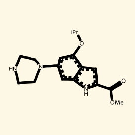 COC(=O)c1cc2c(OC(C)C)cc(N3CCNCC3)cc2[nH]1